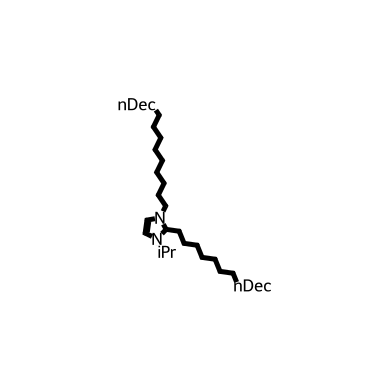 CCCCCCCCCCCCCCCCCCCN1C=CN(C(C)C)C1CCCCCCCCCCCCCCCCC